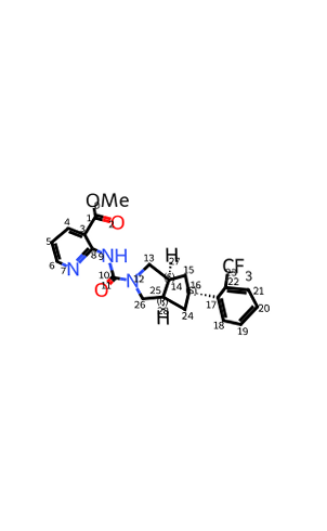 COC(=O)c1cccnc1NC(=O)N1C[C@H]2C[C@H](c3ccccc3C(F)(F)F)C[C@H]2C1